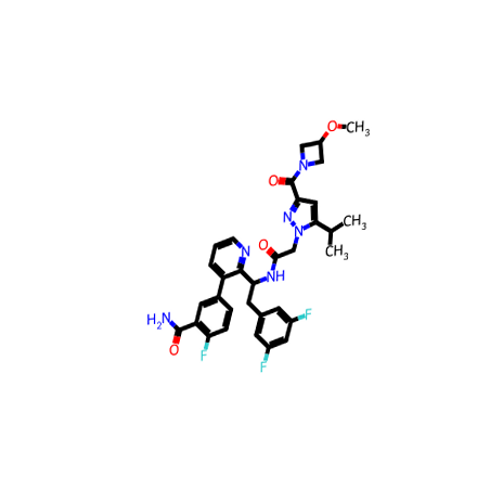 COC1CN(C(=O)c2cc(C(C)C)n(CC(=O)NC(Cc3cc(F)cc(F)c3)c3ncccc3-c3ccc(F)c(C(N)=O)c3)n2)C1